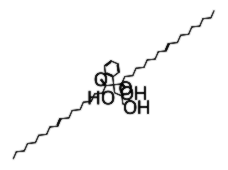 CCCCCCCCC=CCCCCCCCC(=O)C(C(=O)CCCCCCCC=CCCCCCCCC)(c1ccccc1)C(O)C(O)CO